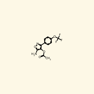 CC(=O)Oc1c(-c2ccc(OC(F)(F)F)cc2)noc1N